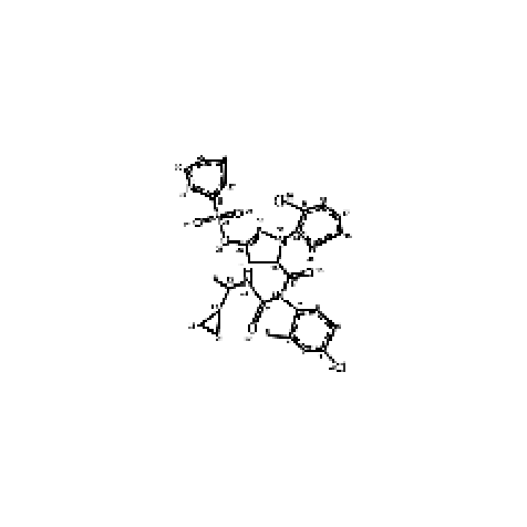 Cc1cc(Cl)ccc1N(C(=O)NC(C)C1CC1)C(=O)C1CC(OS(=O)(=O)c2ccccn2)=NN1c1ncccc1Cl